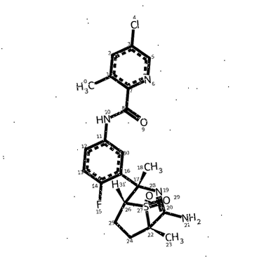 Cc1cc(Cl)cnc1C(=O)Nc1ccc(F)c([C@]2(C)N=C(N)[C@]3(C)CC[C@H]2S3(=O)=O)c1